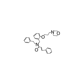 O=C(/C=C/c1ccccc1)N(CCc1ccccc1)Cc1ccccc1OCCCN1CCOCC1